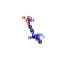 CS(=O)(=O)NC(=O)COc1ccc(N2CCN(CCn3c(C#N)cc4c3nc(N)n3nc(-c5ccccn5)nc43)CC2)cc1